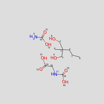 CCCC(C)(CO)CO.NC(=O)O.O=C(O)CNC(=O)O